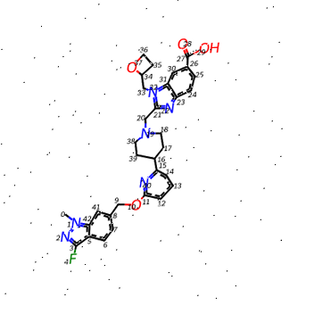 Cn1nc(F)c2ccc(COc3cccc(C4CCN(Cc5nc6ccc(C(=O)O)cc6n5CC5CCO5)CC4)n3)cc21